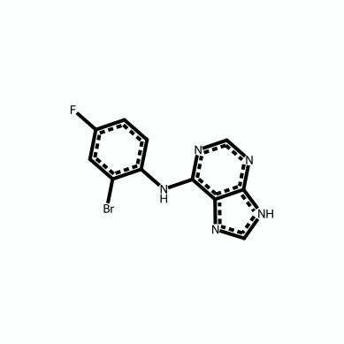 Fc1ccc(Nc2ncnc3[nH]cnc23)c(Br)c1